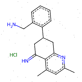 Cc1cc(C)c2c(n1)CC(c1ccccc1CN)CC2=N.Cl